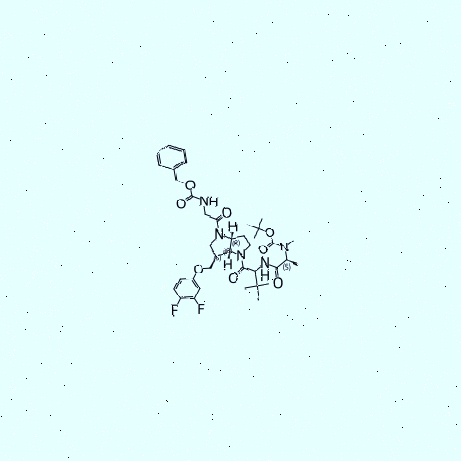 C[C@@H](C(=O)NC(C(=O)N1CC[C@@H]2[C@H]1[C@@H](COc1ccc(F)c(F)c1)CN2C(=O)CNC(=O)OCc1ccccc1)C(C)(C)C)N(C)C(=O)OC(C)(C)C